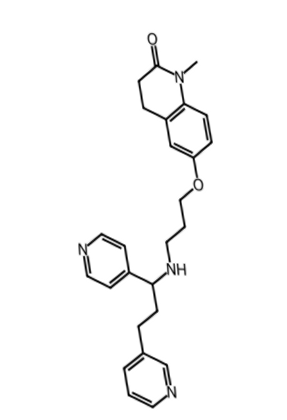 CN1C(=O)CCc2cc(OCCCNC(CCc3cccnc3)c3ccncc3)ccc21